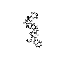 C[C@@H]1Cc2ccccc2CN1C(=O)CN1Cc2ccc(-c3cc(NC4CCOCC4)ncc3Cl)cc2C1=O